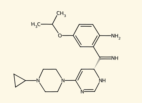 CC(C)Oc1ccc(N)c(C(=N)[C@H]2C=C(N3CCN(C4CC4)CC3)N=CN2)c1